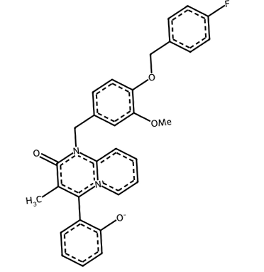 COc1cc(Cn2c(=O)c(C)c(-c3ccccc3[O-])[n+]3ccccc23)ccc1OCc1ccc(F)cc1